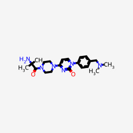 CN(C)Cc1ccc(-n2ccc(N3CCN(C(=O)C(C)(C)N)CC3)nc2=O)cc1